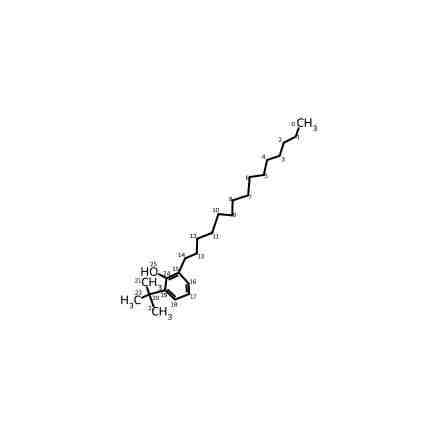 CCCCCCCCCCCCCCCc1cccc(C(C)(C)C)c1O